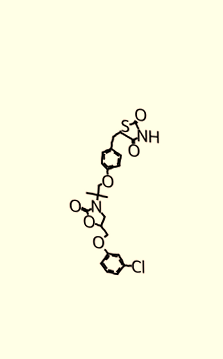 CC(C)(COc1ccc(CC2SC(=O)NC2=O)cc1)N1CC(COc2cccc(Cl)c2)OC1=O